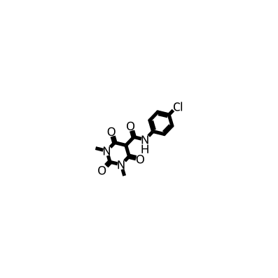 CN1C(=O)C(C(=O)Nc2ccc(Cl)cc2)C(=O)N(C)C1=O